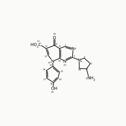 NC1CCN(c2ncc3c(=O)c(C(=O)O)cn(-c4ccc(O)cc4)c3n2)C1